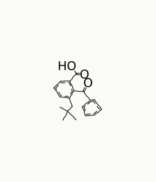 CC(C)(C)Cc1cccc(C(=O)O)c1C(=O)c1ccccc1